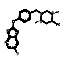 CC(=O)N1C[C@H](C)N(Cc2ccc(Oc3nc4ncc(F)cc4s3)cc2)C[C@@H]1C